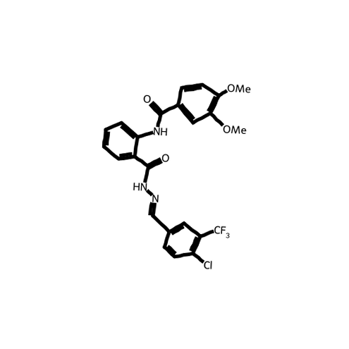 COc1ccc(C(=O)Nc2ccccc2C(=O)NN=Cc2ccc(Cl)c(C(F)(F)F)c2)cc1OC